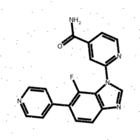 NC(=O)c1ccnc(-n2cnc3ccc(-c4ccncc4)c(F)c32)c1